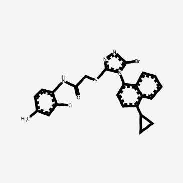 Cc1ccc(NC(=O)CSc2nnc(Br)n2-c2ccc(C3CC3)c3ccccc23)c(Cl)c1